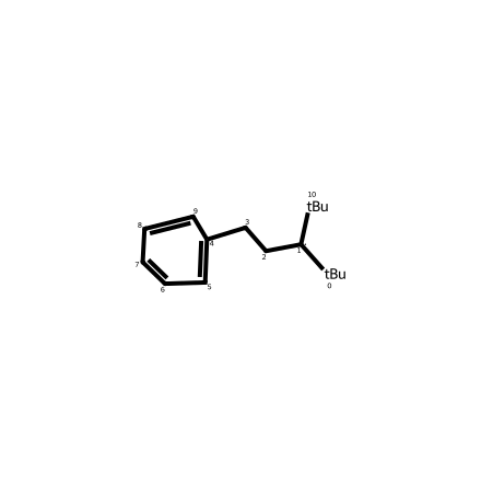 CC(C)(C)[C](CCc1ccccc1)C(C)(C)C